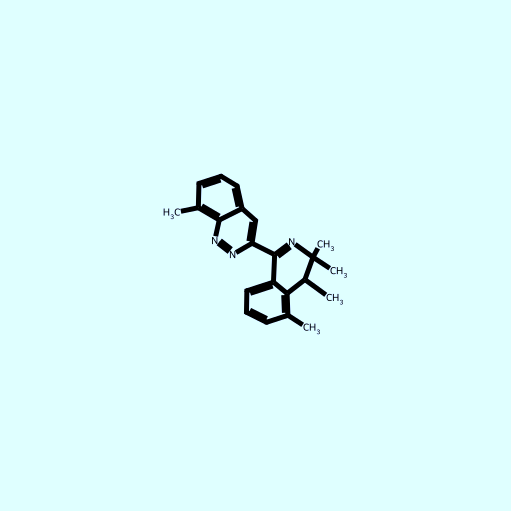 Cc1cccc2c1C(C)C(C)(C)N=C2c1cc2cccc(C)c2nn1